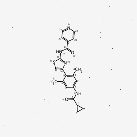 Cc1cc(NC(=O)C2CC2)cc(C)c1-c1csc(NC(=O)c2ccncc2)n1